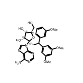 COc1cccc(C(C[C@@]2(n3cnc4c(N)ncnc43)O[C@H](CO)[C@@H](O)[C@H]2O)c2cc(OC)cc(OC)c2)c1